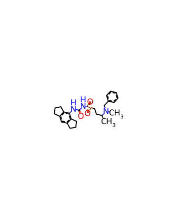 CC(CCS(=O)(=O)NC(=O)Nc1c2c(cc3c1CCC3)CCC2)N(C)Cc1ccccc1